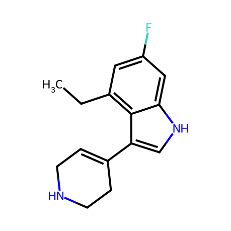 CCc1cc(F)cc2[nH]cc(C3=CCNCC3)c12